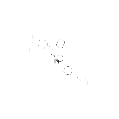 CNCc1ccc(-c2cc(-c3nc(Br)cnc3N(C(=O)OC(C)(C)C)C(=O)OC(C)(C)C)on2)c(F)c1